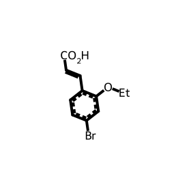 CCOc1cc(Br)ccc1C=CC(=O)O